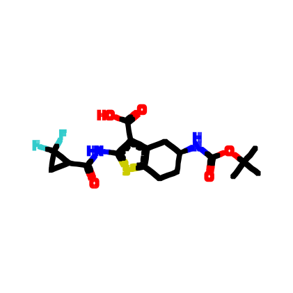 CC(C)(C)OC(=O)N[C@H]1CCc2sc(NC(=O)C3CC3(F)F)c(C(=O)O)c2C1